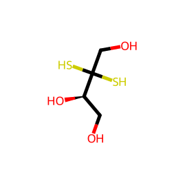 OC[C@@H](O)C(S)(S)CO